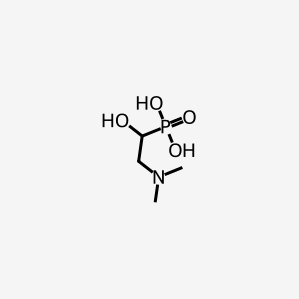 CN(C)CC(O)P(=O)(O)O